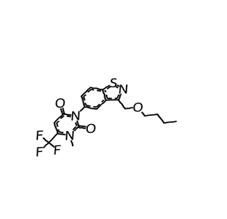 CCCCOCc1nsc2ccc(-n3c(=O)cc(C(F)(F)F)n(C)c3=O)cc12